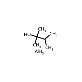 CC(C)C(C)(C)O.[AlH3]